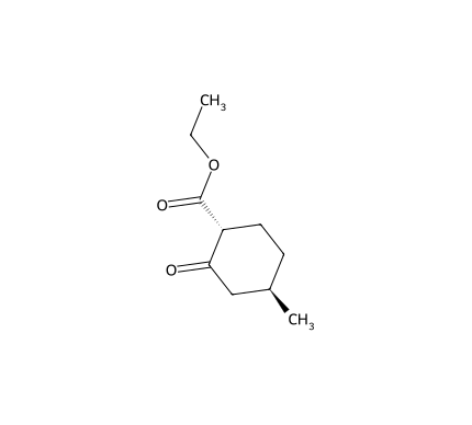 CCOC(=O)[C@@H]1CC[C@@H](C)CC1=O